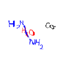 NN.O.[Co]